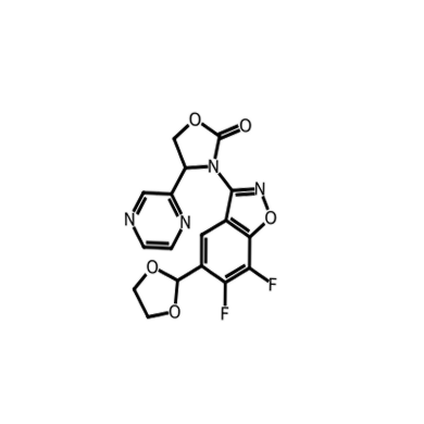 O=C1OCC(c2cnccn2)N1c1noc2c(F)c(F)c(C3OCCO3)cc12